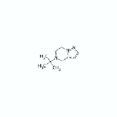 CC(C)(C)N1CCn2nccc2C1